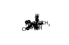 CCOC(=O)CC[C@H](NC(=O)[C@H](Cc1nn[nH]n1)NC(=O)[C@H](Cc1ccc2ccccc2c1)NC(=O)c1cc2cc(Cl)ccc2[nH]1)C(=O)Nc1ccc(OC(F)(F)F)cc1